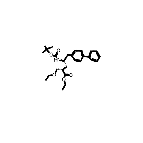 CCOC[C@H](C[C@@H](Cc1ccc(-c2ccccc2)cc1)NC(=O)OC(C)(C)C)C(=O)OCC